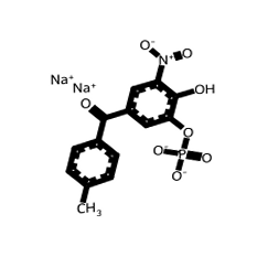 Cc1ccc(C(=O)c2cc(OP(=O)([O-])[O-])c(O)c([N+](=O)[O-])c2)cc1.[Na+].[Na+]